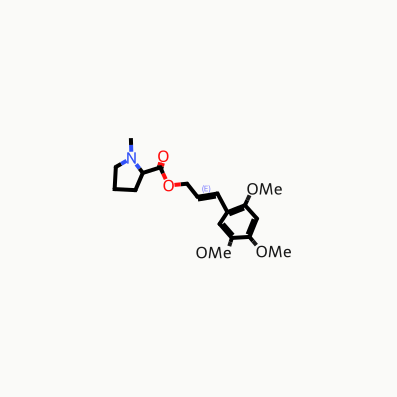 COc1cc(OC)c(OC)cc1/C=C/COC(=O)C1CCCN1C